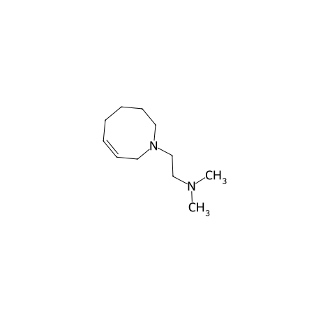 CN(C)CCN1C/C=C\CCCC1